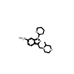 CC1COCCN1Cc1nn(C2CCCCO2)c2cc(S(=O)(=O)O)ccc12